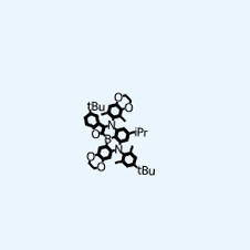 Cc1cc(C(C)(C)C)cc(C)c1N1c2cc3c(cc2B2c4oc5ccc(C(C)(C)C)cc5c4N(c4c(C)cc5c(c4C)OCCO5)c4cc(C(C)C)cc1c42)OCCO3